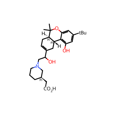 CC(C)(C)c1cc(O)c2c(c1)OC(C)(C)[C@@H]1CC=C(C(O)CN3CCC[C@H](CC(=O)O)C3)C[C@@H]21